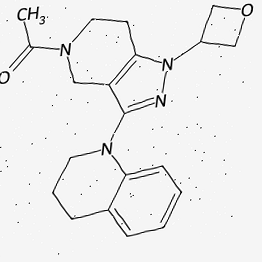 CC(=O)N1CCc2c(c(N3CCCc4ccccc43)nn2C2COC2)C1